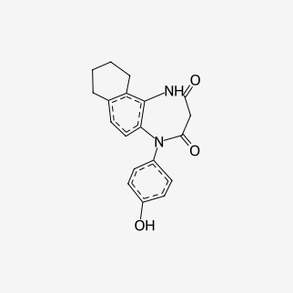 O=C1CC(=O)N(c2ccc(O)cc2)c2ccc3c(c2N1)CCCC3